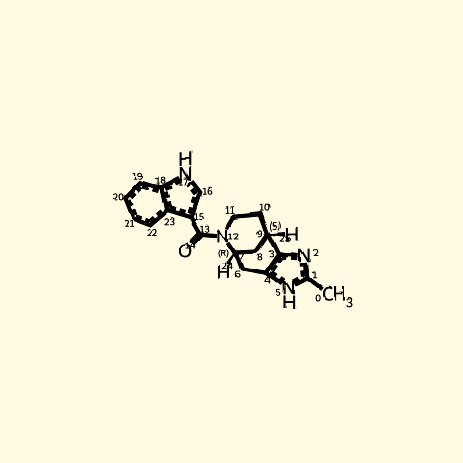 Cc1nc2c([nH]1)C[C@H]1C[C@@H]2CCN1C(=O)c1c[nH]c2ccccc12